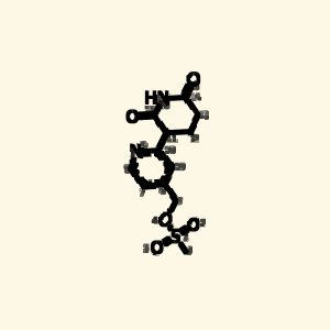 CS(=O)(=O)OCc1ccnc(C2CCC(=O)NC2=O)c1